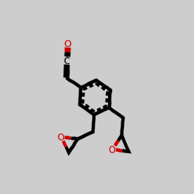 O=C=Cc1ccc(CC2CO2)c(CC2CO2)c1